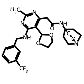 Cc1nc(CC(=O)NC23CCN(CC2)CC3)c(C2OCCO2)c(NCc2cccc(C(F)(F)F)c2)n1